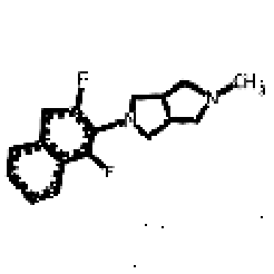 CN1CC2CN(c3c(F)cc4ccccc4c3F)CC2C1